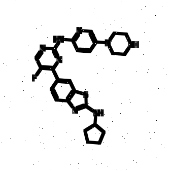 Fc1cnc(Nc2ccc(N3CCNCC3)cn2)nc1-c1ccc2nc(NC3CCCC3)sc2c1